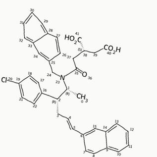 C[C@H]([C@H](CC=Cc1ccc2ccccc2c1)c1ccc(Cl)cc1)N(Cc1ccc2ccccc2c1)C(=O)C[C@@H](CC(=O)O)C(=O)O